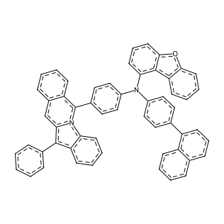 c1ccc(-c2c3ccccc3n3c(-c4ccc(N(c5ccc(-c6cccc7ccccc67)cc5)c5cccc6oc7ccccc7c56)cc4)c4ccccc4cc23)cc1